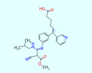 COC(=O)C(C#N)C(=Nc1cccc(/C(=C\CCCC(=O)O)c2cccnc2)c1)NCC(C)C